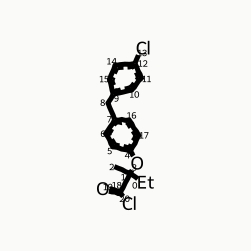 CCC(C)(Oc1ccc(Cc2ccc(Cl)cc2)cc1)C(=O)Cl